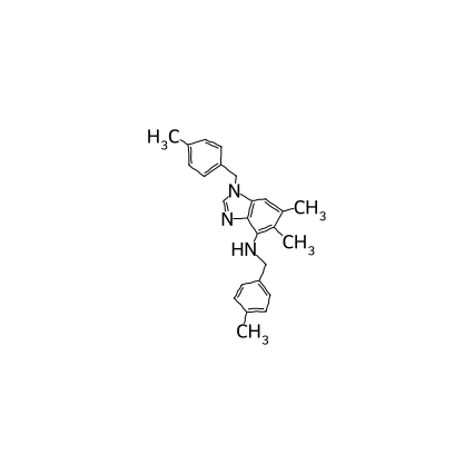 Cc1ccc(CNc2c(C)c(C)cc3c2ncn3Cc2ccc(C)cc2)cc1